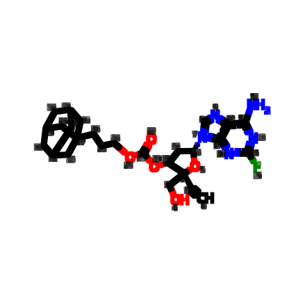 C#C[C@]1(CO)O[C@@H](n2cnc3c(N)nc(F)nc32)C[C@@H]1OC(=O)OCCCC12CC3CC(CC(C3)C1)C2